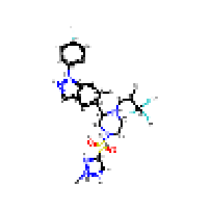 Cc1cc2c(cnn2-c2ccc(F)cc2)cc1C1CN(S(=O)(=O)c2cnn(C)n2)CCN1CC(C)C(F)(F)F